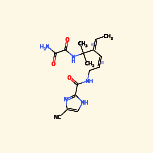 C/C=C(\C=C/CNC(=O)c1nc(C#N)c[nH]1)C(C)(C)NC(=O)C(N)=O